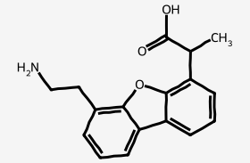 CC(C(=O)O)c1cccc2c1oc1c(CCN)cccc12